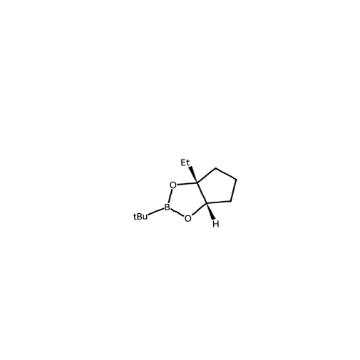 CC[C@@]12CCC[C@@H]1OB(C(C)(C)C)O2